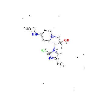 CC(O)(CN1CCC(NC(=O)O)CC1)Cn1cc([N+](=O)[O-])nc1Cl